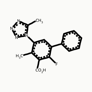 Cc1c(-n2nnnc2C)cc(-c2ccccc2)c(F)c1C(=O)O